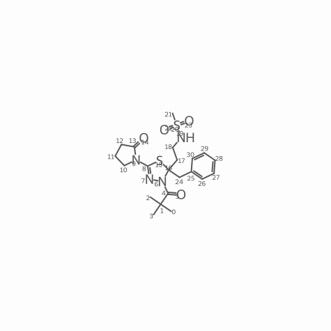 CC(C)(C)C(=O)N1N=C(N2CCCC2=O)SC1(CCNS(C)(=O)=O)Cc1ccccc1